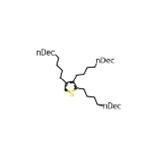 CCCCCCCCCCCCCCc1csc(CCCCCCCCCCCCCC)c1CCCCCCCCCCCCCC